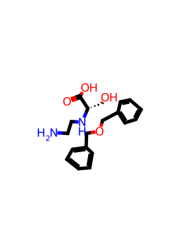 NCCN[C@@H](CO)C(=O)O.c1ccc(COCc2ccccc2)cc1